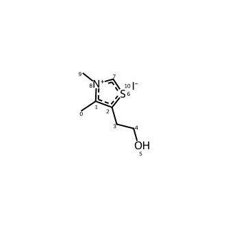 Cc1c(CCO)sc[n+]1C.[I-]